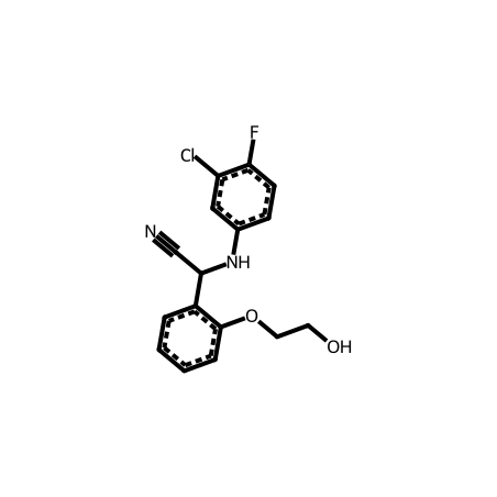 N#CC(Nc1ccc(F)c(Cl)c1)c1ccccc1OCCO